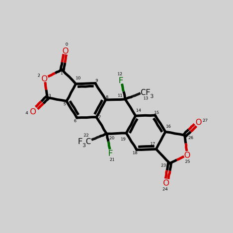 O=C1OC(=O)c2cc3c(cc21)C(F)(C(F)(F)F)c1cc2c(cc1C3(F)C(F)(F)F)C(=O)OC2=O